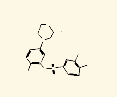 COc1ccc(N2C[C@@H](C)N[C@@H](C)C2)cc1NS(=O)(=O)c1ccc(Cl)c(Cl)c1